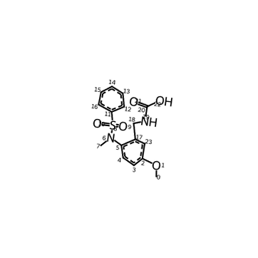 COc1ccc(N(C)S(=O)(=O)c2ccccc2)c(CNC(=O)O)c1